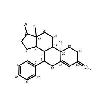 CC1CCC2C3C(c4ccccc4)CC4=CC(=O)CCC4(C)C3CCC12C